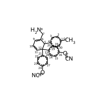 Cc1ccc(C2C(CN)=CC=CC2(c2ccc(OC#N)cc2)c2ccc(OC#N)cc2)cc1